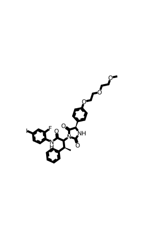 COCCOCCOc1ccc([C@H]2NC(=O)N(C(C(=O)Nc3ccc(I)cc3F)[C@@H](C)c3ccccc3)C2=O)cc1